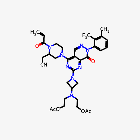 C=CC(=O)N1CCN(c2nc(N3CC(N(CCOC(C)=O)CCOC(C)=O)C3)nc3c(=O)n(-c4cccc(C)c4C(F)(F)F)ncc23)CC1CC#N